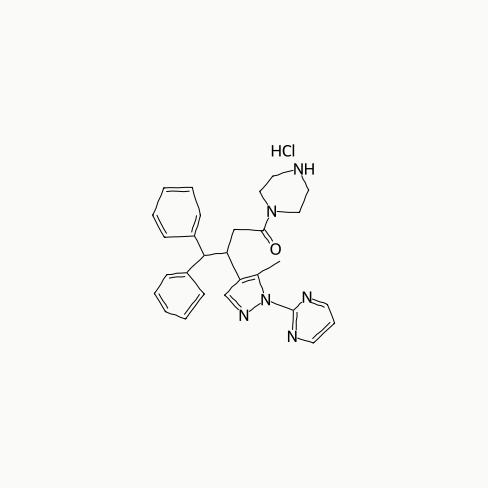 Cc1c(C(CC(=O)N2CCNCC2)C(c2ccccc2)c2ccccc2)cnn1-c1ncccn1.Cl